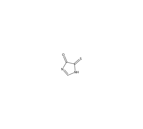 O=C1N=CNC1=S